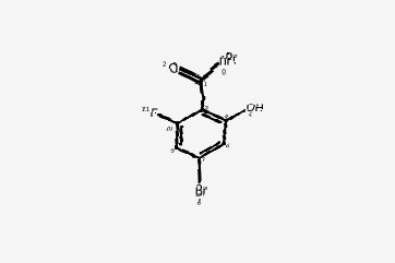 CCCC(=O)c1c(O)cc(Br)cc1F